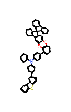 C1=CC2=C(CC1)c1cc3c(cc1C21c2ccccc2-c2ccccc21)Oc1cccc(-c2ccc(N(c4ccccc4)c4ccc(-c5ccc6sc7ccccc7c6c5)cc4)cc2)c1O3